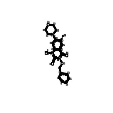 CCn1c(=O)n(OCc2ccccc2)c(=O)c2cc(F)c(N3CCOCC3)cc21